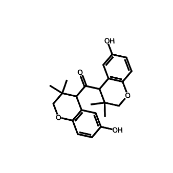 CC1(C)COc2ccc(O)cc2C1C(=O)C1c2cc(O)ccc2OCC1(C)C